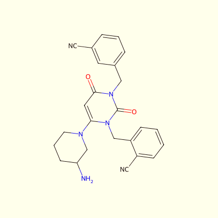 N#Cc1cccc(Cn2c(=O)cc(N3CCCC(N)C3)n(Cc3ccccc3C#N)c2=O)c1